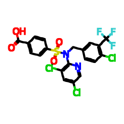 O=C(O)c1ccc(S(=O)(=O)N(Cc2ccc(Cl)c(C(F)(F)F)c2)c2ncc(Cl)cc2Cl)cc1